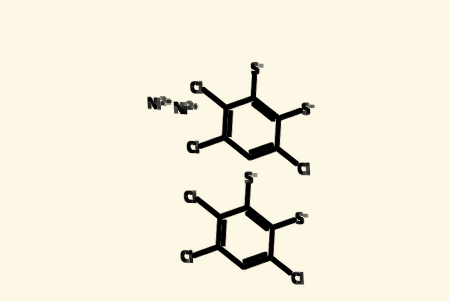 [Ni+2].[Ni+2].[S-]c1c(Cl)cc(Cl)c(Cl)c1[S-].[S-]c1c(Cl)cc(Cl)c(Cl)c1[S-]